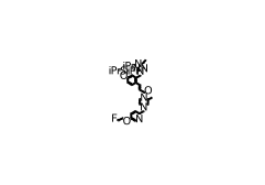 Cc1nnn(Cc2cc(O[Si](C(C)C)(C(C)C)C(C)C)ccc2/C=C/C(=O)N2CCN(Cc3ccc(OCCF)cn3)CC2C)n1